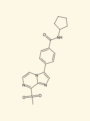 CS(=O)(=O)c1nccn2c(-c3ccc(C(=O)NC4CCCC4)cc3)cnc12